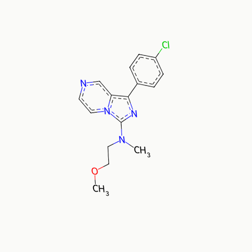 COCCN(C)c1nc(-c2ccc(Cl)cc2)c2cnccn12